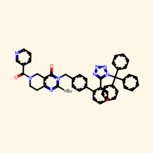 CCCCc1nc2c(c(=O)n1Cc1ccc(-c3ccccc3-c3nnnn3C(c3ccccc3)(c3ccccc3)c3ccccc3)cc1)CN(C(=O)c1cccnc1)CC2